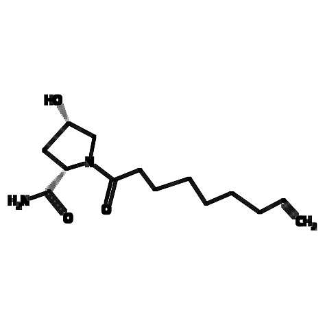 C=CCCCCCCC(=O)N1C[C@@H](O)C[C@H]1C(N)=O